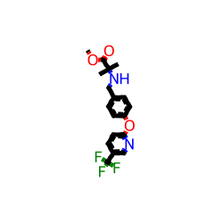 COC(=O)C(C)(C)NCc1ccc(Oc2ccc(C(F)(F)F)cn2)cc1